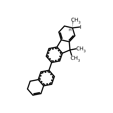 CC1(C)C2=C[C@](C)(I)CC=C2c2ccc(-c3ccc4c(c3)CCC=C4)cc21